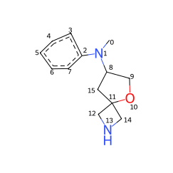 CN(c1ccccc1)C1COC2(CNC2)C1